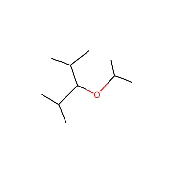 CC(C)OC(C(C)C)C(C)C